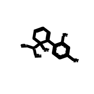 CC(C)c1ccc(C2=CC=CCC2(C(C)C)P(C(C)(C)C)C(C)(C)C)c(C(C)C)c1